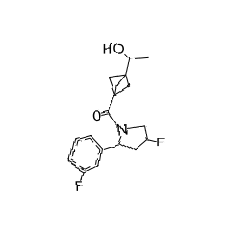 CC(O)C12CC(C(=O)N3CC(F)CC3c3cccc(F)c3)(C1)C2